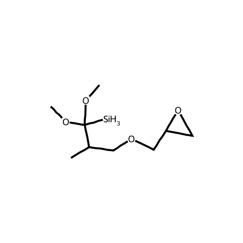 COC([SiH3])(OC)C(C)COCC1CO1